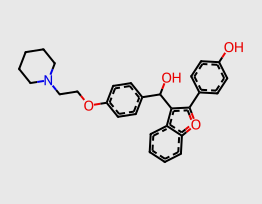 Oc1ccc(-c2oc3ccccc3c2C(O)c2ccc(OCCN3CCCCC3)cc2)cc1